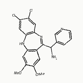 COc1cc2c(cc1OC)C(C(N)c1cccnc1)=Nc1cc(Cl)c(Cl)cc1N2